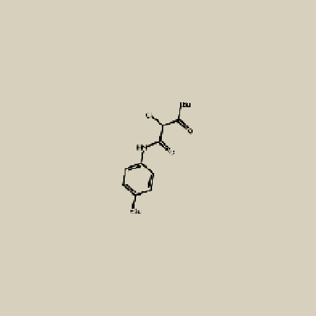 CC(C)(C)C(=O)C(Cl)C(=O)Nc1ccc(C(C)(C)C)cc1